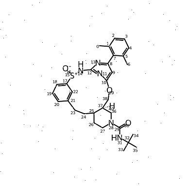 Cc1cccc(C)c1-c1cc2nc(n1)N[S+]([O-])c1cccc(c1)CCC1CCN(C(=O)NC(C)(C)C)C[C@@H]1CO2